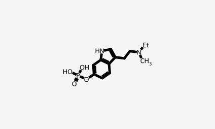 CCN(C)CCc1c[nH]c2cc(OP(=O)(O)O)ccc12